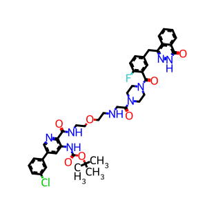 CC(C)(C)OC(=O)Nc1cc(-c2cccc(Cl)c2)cnc1C(=O)NCCOCCNCC(=O)N1CCN(C(=O)c2cc(Cc3n[nH]c(=O)c4ccccc34)ccc2F)CC1